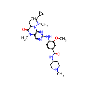 CCC1C(=O)N(C)c2cnc(Nc3ccc(C(=O)NC4CCN(C)CC4)cc3OC)nc2N1N(C)CC1CC1